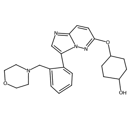 OC1CCC(Oc2ccc3ncc(-c4ccccc4CN4CCOCC4)n3n2)CC1